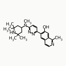 Cc1nccc2cc(-c3ccc(N(C)C4CC(C)(C)NC(C)(C)C4)nn3)c(O)cc12